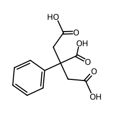 O=C(O)CC(CC(=O)O)(C(=O)O)c1ccccc1